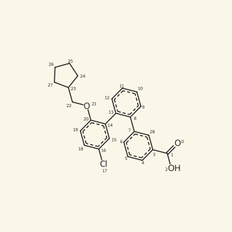 O=C(O)c1cccc(-c2ccccc2-c2cc(Cl)ccc2OCC2CCCC2)c1